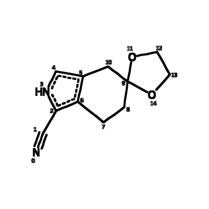 N#Cc1[nH]cc2c1CCC1(C2)OCCO1